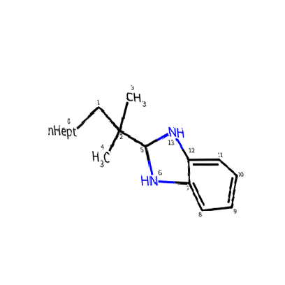 CCCCCCCCC(C)(C)C1Nc2ccccc2N1